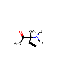 C=CC(OC(C)=O)(C(=O)OC(C)=O)N(CC)CC